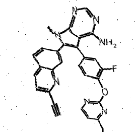 C#Cc1ccc2ccc(-c3c(-c4ccc(Oc5nccc(C)n5)c(F)c4)c4c(N)ncnc4n3C)cc2n1